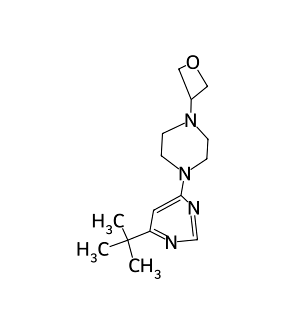 CC(C)(C)c1cc(N2CCN(C3COC3)CC2)ncn1